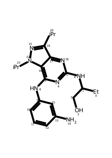 CCC(CO)Nc1nc(Nc2cccc(N)c2)c2c(n1)c(C(C)C)nn2C(C)C